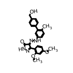 COc1ccc(C2=NNC(=O)/C2=N/Nc2ccc(C)c(-c3ccc(CO)cc3)c2)c(OC)c1